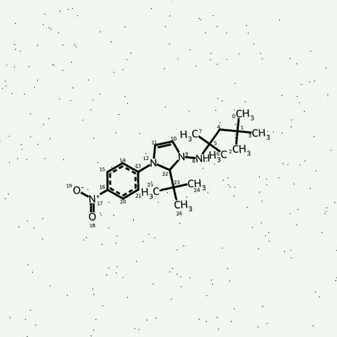 CC(C)(C)CC(C)(C)NN1C=CN(c2ccc([N+](=O)[O-])cc2)C1C(C)(C)C